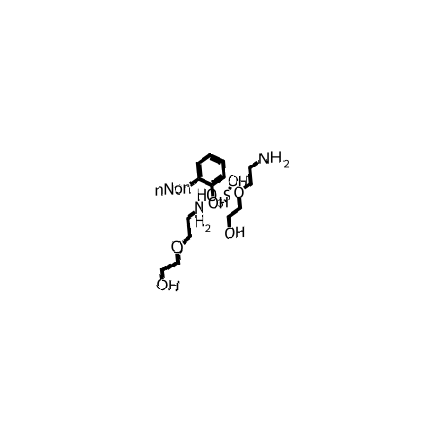 CCCCCCCCCc1ccccc1O.NCCOCCO.NCCOCCO.O=S(=O)(O)O